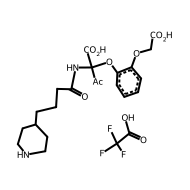 CC(=O)C(NC(=O)CCCC1CCNCC1)(Oc1ccccc1OCC(=O)O)C(=O)O.O=C(O)C(F)(F)F